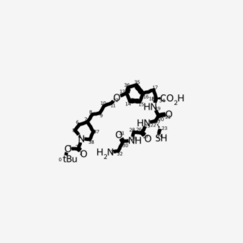 CC(C)(C)OC(=O)N1CCC(CCCCOc2ccc(C[C@H](NC(=O)[C@H](CS)NC(=O)CNC(=O)CN)C(=O)O)cc2)CC1